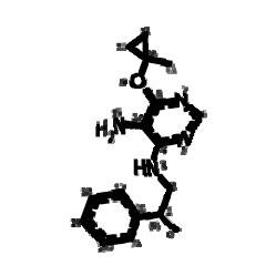 C[C@H](CNc1ncnc(OC2(C)CC2)c1N)c1ccccc1